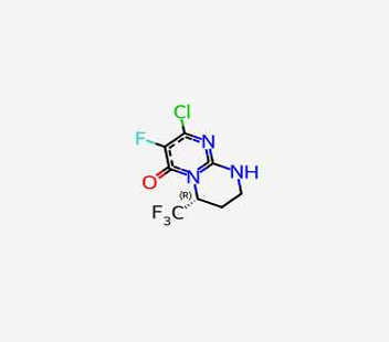 O=c1c(F)c(Cl)nc2n1[C@@H](C(F)(F)F)CCN2